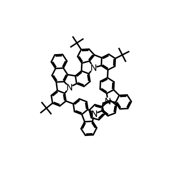 CC(C)(C)c1cc(-c2ccc3c(c2)c2ccccc2n3-c2ccccc2)c2c(c1)c1cc(C(C)(C)C)cc3c4c5c6c7ccccc7cc7c8cc(C(C)(C)C)cc(-c9ccc%10c(c9)c9ccccc9n%10-c9ccccc9)c8n(c5ccc4n2c13)c76